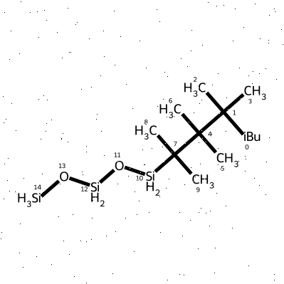 CCC(C)C(C)(C)C(C)(C)C(C)(C)[SiH2]O[SiH2]O[SiH3]